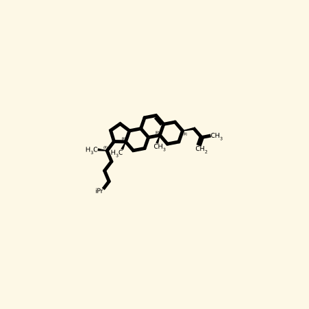 C=C(C)C[C@H]1CC[C@@]2(C)C(=CCC3C4CCC([C@H](C)CCCC(C)C)[C@@]4(C)CCC32)C1